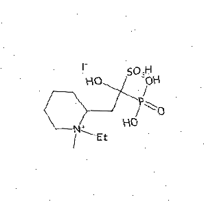 CC[N+]1(C)CCCCC1CC(O)(P(=O)(O)O)S(=O)(=O)O.[I-]